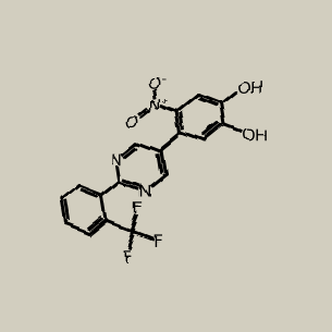 O=[N+]([O-])c1cc(O)c(O)cc1-c1cnc(-c2ccccc2C(F)(F)F)nc1